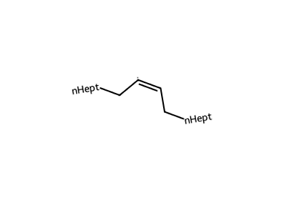 CCCCCCCC/[C]=C\CCCCCCCC